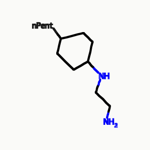 CCCCCC1CCC(NCCN)CC1